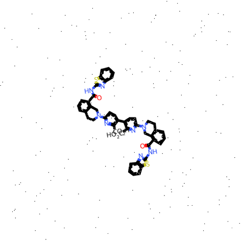 O=C(Nc1nc2ccccc2s1)c1cccc2c1CN(c1ccc(-c3ccc(N4CCc5cccc(C(=O)Nc6nc7ccccc7s6)c5C4)nc3C(=O)O)c(C(=O)O)n1)CC2